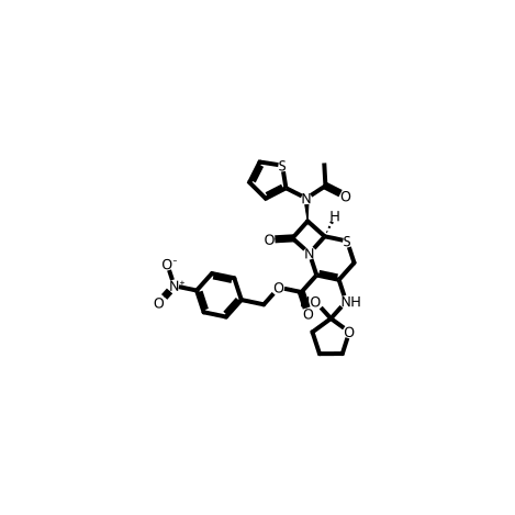 CC(=O)N(c1cccs1)[C@@H]1C(=O)N2C(C(=O)OCc3ccc([N+](=O)[O-])cc3)=C(NC3(O)CCCO3)CS[C@H]12